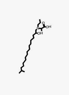 CCCN(CC(O)CCCCCCCCCCCCCC(C)C)C(C)C(=O)O